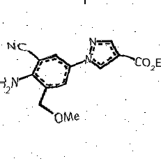 CCOC(=O)c1cnn(-c2cc(C#N)c(N)c(COC)c2)c1